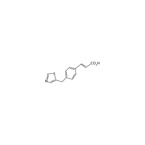 O=C(O)/C=C/c1ccc(Cc2cncs2)cc1